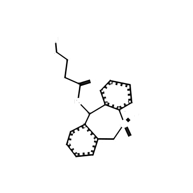 O=C(CCCCl)NC1c2ccccc2CS(=O)(=O)c2ccccc21